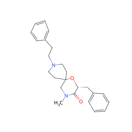 CN1CC2(CCN(CCc3ccccc3)CC2)O[C@H](Cc2ccccc2)C1=O